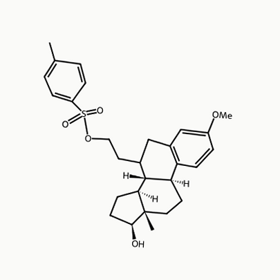 COc1ccc2c(c1)CC(CCOS(=O)(=O)c1ccc(C)cc1)[C@@H]1[C@@H]2CC[C@]2(C)[C@@H](O)CC[C@@H]12